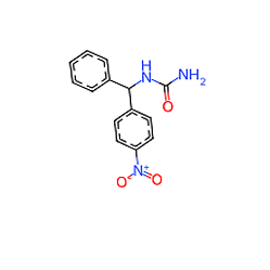 NC(=O)NC(c1ccccc1)c1ccc([N+](=O)[O-])cc1